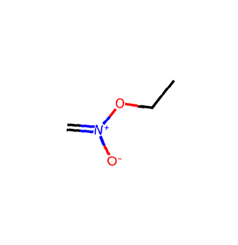 C=[N+]([O-])OCC